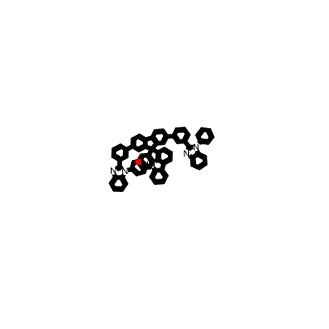 c1ccc(-n2c(-c3cccc(-c4ccc5c(c4)C(c4ccccc4)(c4cccc6c4[nH]c4ccccc46)c4cc(-c6cccc(-c7nc8ccccc8n7-c7ccccc7)c6)ccc4-5)c3)nc3ccccc32)cc1